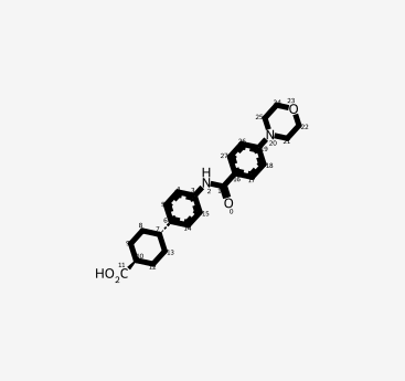 O=C(Nc1ccc([C@H]2CC[C@H](C(=O)O)CC2)cc1)c1ccc(N2CCOCC2)cc1